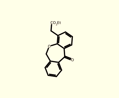 CCOC(=O)Cc1cccc2c1OCc1ccccc1C2=O